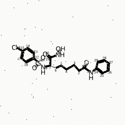 O=C(CCCCC[C@H](NS(=O)(=O)c1ccc(Cl)cc1)C(=O)NO)Nc1ccccc1